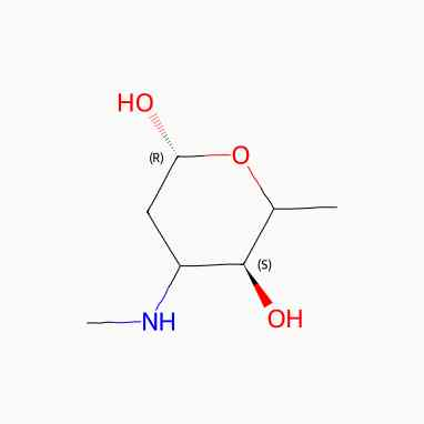 CNC1C[C@H](O)OC(C)[C@H]1O